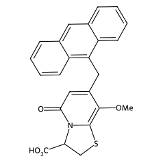 COc1c(Cc2c3ccccc3cc3ccccc23)cc(=O)n2c1SCC2C(=O)O